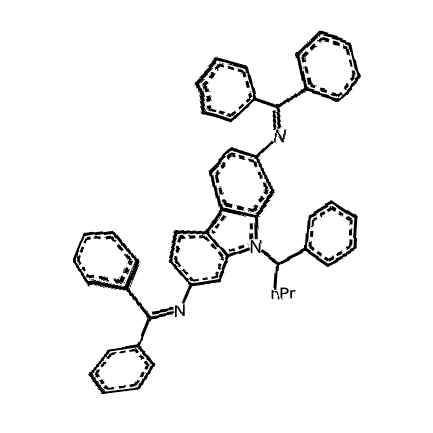 CCCC(c1ccccc1)n1c2cc(N=C(c3ccccc3)c3ccccc3)ccc2c2ccc(N=C(c3ccccc3)c3ccccc3)cc21